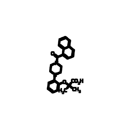 CC(C)(Oc1ccccc1N1CCN(C(=O)c2cccc3ccccc23)CC1)C(=O)O